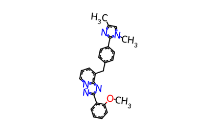 COc1ccccc1-c1nc2c(Cc3ccc(-c4nc(C)cn4C)cc3)cccn2n1